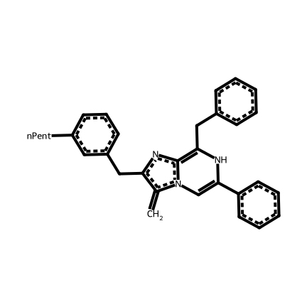 C=c1c(Cc2cccc(CCCCC)c2)nc2n1C=C(c1ccccc1)NC=2Cc1ccccc1